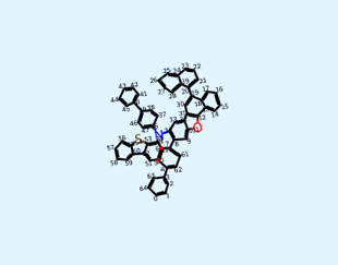 c1ccc(-c2ccc(-c3cc4oc5c6ccccc6c(-c6cccc7ccccc67)cc5c4cc3N(c3ccc(-c4ccccc4)cc3)c3cccc4c3sc3ccccc34)cc2)cc1